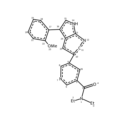 CCN(CC)C(=O)c1cncc(-c2cnc3[nH]cc(-c4ccccc4OC)c3c2)c1